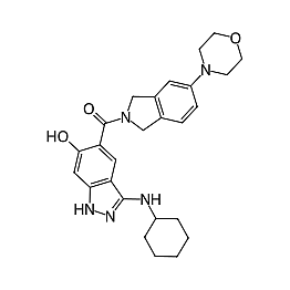 O=C(c1cc2c(NC3CCCCC3)n[nH]c2cc1O)N1Cc2ccc(N3CCOCC3)cc2C1